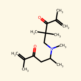 C=C(C)C(=O)CC(C)N(C)CC(C)(C)C(=O)C(=C)C